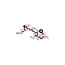 COC(=O)C[C@@H]1CC2(CC2)[C@H](O)[C@@H](/C=C/C(C)=C/C[C@@H]2O[C@H](C)[C@H](NC(=O)/C=C\C(C)OC(=O)c3ccccc3)C[C@@H]2C)O1